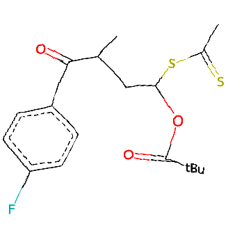 CC(=S)SC(CC(C)C(=O)c1ccc(F)cc1)OC(=O)C(C)(C)C